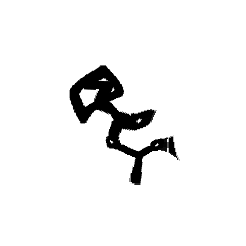 CC(O)OC(=O)C12C=CC(CC1)C2